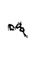 CN1CC2CC1CN(C1C=C(c3ccc(C#N)cc3)C=NC1)C2